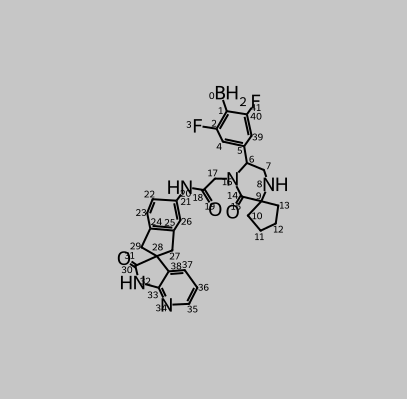 Bc1c(F)cc(C2CNC3(CCCC3)C(=O)N2CC(=O)Nc2ccc3c(c2)CC2(C3)C(=O)Nc3ncccc32)cc1F